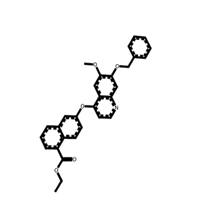 CCOC(=O)c1cccc2cc(Oc3ccnc4cc(OCc5ccccc5)c(OC)cc34)ccc12